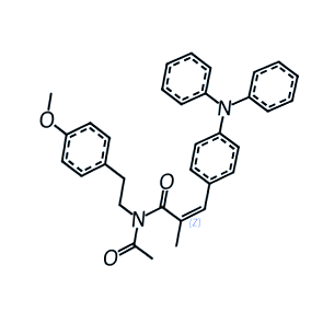 COc1ccc(CCN(C(C)=O)C(=O)/C(C)=C\c2ccc(N(c3ccccc3)c3ccccc3)cc2)cc1